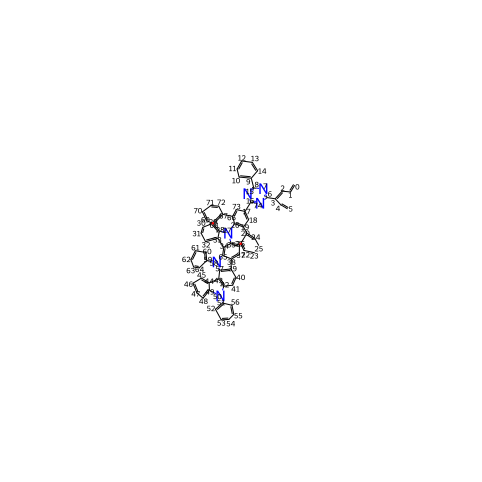 C=C/C=C(\C=C)c1nc(-c2ccccc2)nc(-c2cc(C(/C=C\C)=C/C)c(-n3c4ccccc4c4c3ccc3c5ccc6c(c7ccccc7n6-c6ccccc6)c5n(-c5ccccc5)c34)c(-c3ccccc3)c2)n1